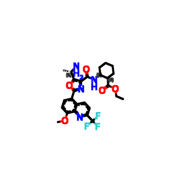 CCOC(=O)[C@@H]1CCCC[C@H]1NC(=O)c1nc(-c2ccc(OC)c3nc(C(F)(F)F)ccc23)oc1[C@H](C)N